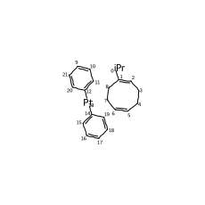 CC(C)/C1=C/CC/C=C\CC1.c1cc[c]([Pt][c]2ccccc2)cc1